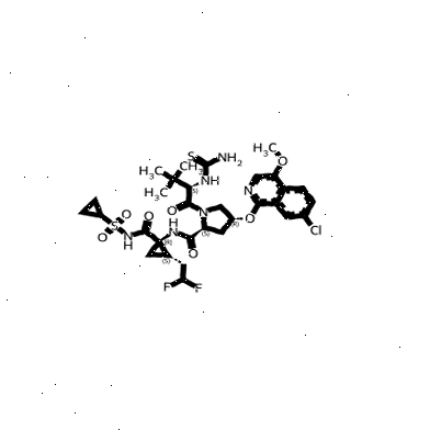 COc1cnc(O[C@@H]2C[C@@H](C(=O)N[C@]3(C(=O)NS(=O)(=O)C4CC4)C[C@H]3CC(F)F)N(C(=O)[C@@H](NC(N)=S)C(C)(C)C)C2)c2cc(Cl)ccc12